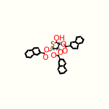 O=C(OC[C@@H]1SC(O)[C@H](OC(=O)c2ccc3ccccc3c2)[C@H]1OC(=O)c1ccc2ccccc2c1)c1ccc2ccccc2c1